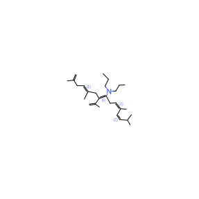 C=C(C)C/C=C(\C)C/C(C(=C)C)=C(/C/C=C(C)\C=C/C(C)C)N(CCC)CCC